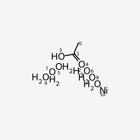 CC(=O)O.O.O.O.O.O.O.[Ni]